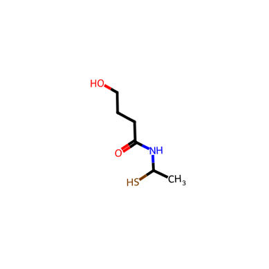 CC(S)NC(=O)CCCO